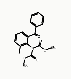 Cc1cccc(C(=O)c2ccccc2)c1N(C(=O)OC(C)(C)C)C(=O)OC(C)(C)C